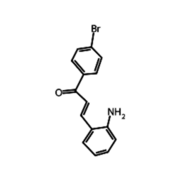 Nc1ccccc1/C=C/C(=O)c1ccc(Br)cc1